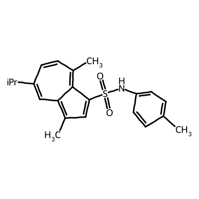 Cc1ccc(NS(=O)(=O)c2cc(C)c3cc(C(C)C)ccc(C)c2-3)cc1